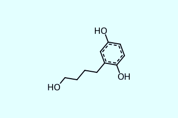 OCCCCc1cc(O)ccc1O